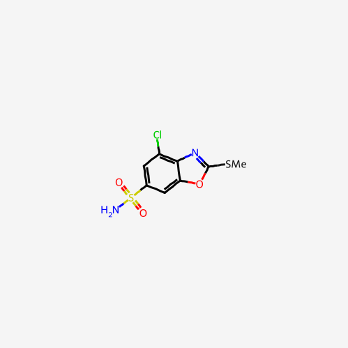 CSc1nc2c(Cl)cc(S(N)(=O)=O)cc2o1